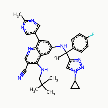 [2H]C(Nc1cc(-c2cnc(C)nc2)c2ncc(C#N)c(NCC(C)(C)C)c2c1)(c1ccc(F)cc1)c1cn(C2CC2)nn1